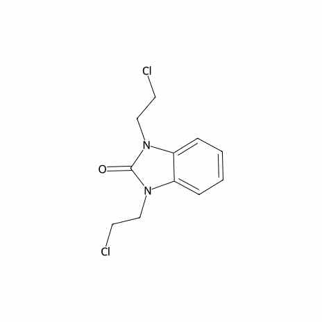 O=c1n(CCCl)c2ccccc2n1CCCl